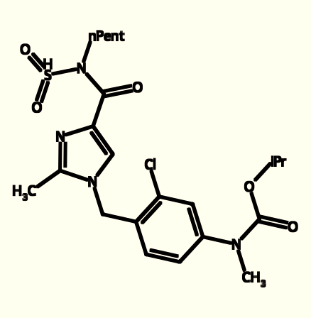 CCCCCN(C(=O)c1cn(Cc2ccc(N(C)C(=O)OC(C)C)cc2Cl)c(C)n1)[SH](=O)=O